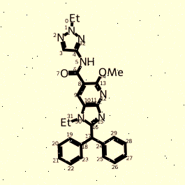 CCn1ncc(NC(=O)c2cc3c(nc2OC)nc(C(c2ccccc2)c2ccccc2)n3CC)n1